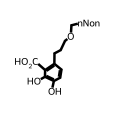 CCCCCCCCCCOCCCc1ccc(O)c(O)c1C(=O)O